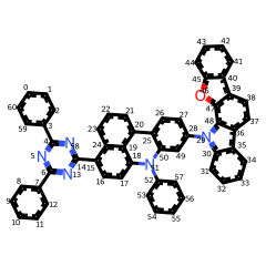 c1ccc(-c2nc(-c3ccccc3)nc(-c3ccc4c5c(cccc35)-c3ccc(-n5c6ccccc6c6ccc7c8ccccc8oc7c65)cc3N4c3ccccc3)n2)cc1